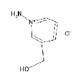 N[n+]1cccc(CO)c1.[Cl-]